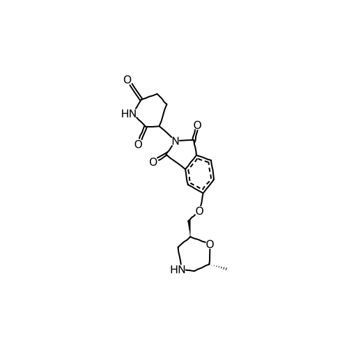 C[C@@H]1CNC[C@@H](COc2ccc3c(c2)C(=O)N(C2CCC(=O)NC2=O)C3=O)O1